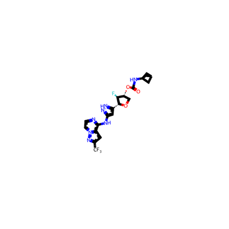 O=C(NC12CC(C1)C2)O[C@@H]1CO[C@H](c2cc(Nc3nccn4nc(C(F)(F)F)cc34)n[nH]2)[C@H]1F